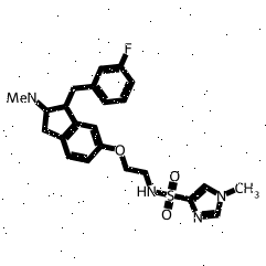 CNC1Cc2ccc(OCCNS(=O)(=O)c3cn(C)cn3)cc2C1Cc1cccc(F)c1